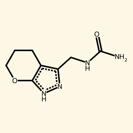 NC(=O)NCc1n[nH]c2c1CCCO2